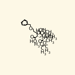 CC(C)(C)OC(=O)N(C(C)(C)C)[C@](C[C@@H](CCCOCc1ccccc1)C(=O)O)(C(=O)O)C(C)(C)C